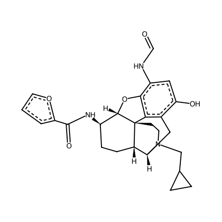 O=CNc1cc(O)c2c3c1O[C@H]1[C@H](NC(=O)c4ccco4)CC[C@H]4[C@@H](C2)N(CC2CC2)CC[C@@]341